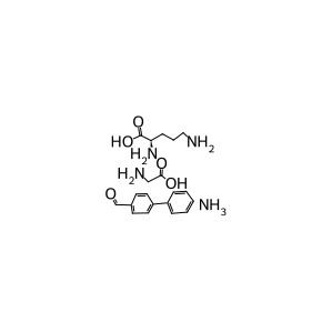 N.NCC(=O)O.NCCC[C@@H](N)C(=O)O.O=Cc1ccc(-c2ccccc2)cc1